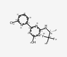 C[C@@H](Nc1nc(O)nc(-c2cccc(Cl)n2)n1)C(F)(F)F